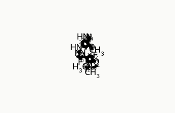 COc1cc(Nc2ncc(F)c(-c3cc(F)c4c(c3)N(C(C)C)CCO4)n2)cc2[nH]ncc12